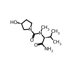 CC(C)[C@@H](C(N)=O)N(C)C(=O)N1CC[C@H](O)C1